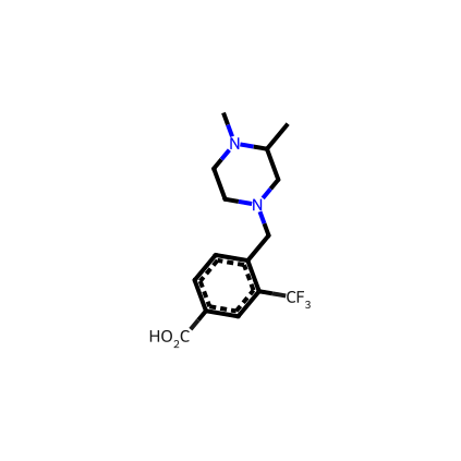 CC1CN(Cc2ccc(C(=O)O)cc2C(F)(F)F)CCN1C